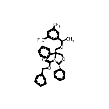 C[C@@H](OC[C@@]1(c2ccccc2)CO[C@H](c2ccccc2)N1C(=O)OCc1ccccc1)c1cc(C(F)(F)F)cc(C(F)(F)F)c1